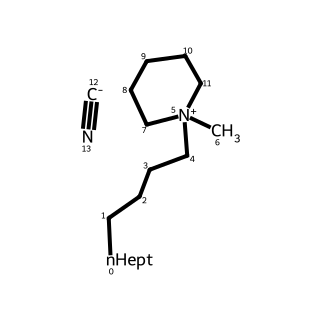 CCCCCCCCCCC[N+]1(C)CCCCC1.[C-]#N